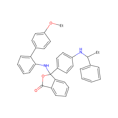 CCOc1ccc(-c2ccccc2NC2(c3ccc(NC(CC)c4ccccc4)cc3)OC(=O)c3ccccc32)cc1